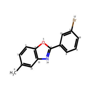 Cc1ccc2oc(-c3cccc(Br)c3)nc2c1